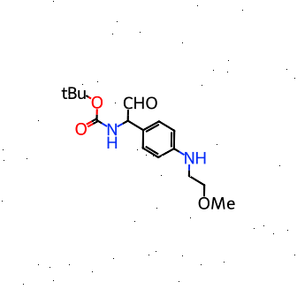 COCCNc1ccc(C(C=O)NC(=O)OC(C)(C)C)cc1